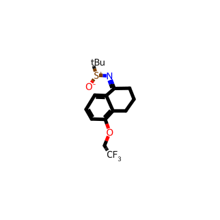 CC(C)(C)[S+]([O-])/N=C1/CCCc2c(OCC(F)(F)F)cccc21